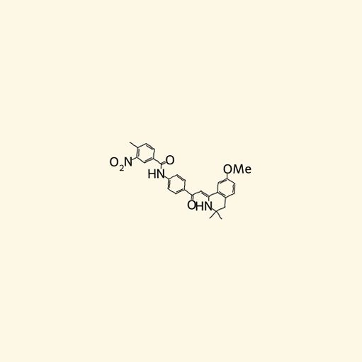 COc1ccc2c(c1)C(=CC(=O)c1ccc(NC(=O)c3ccc(C)c([N+](=O)[O-])c3)cc1)NC(C)(C)C2